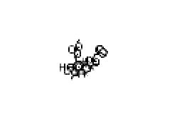 CCOC(=O)OCC1=C[C@H]2[C@H](OC(=O)CC34CC5CC(CC(C5)C3)C4)[C@@](C)(CC)C[C@@H](C)[C@]2(O)[C@@H]2C=C(C)C(=O)[C@@]2(O)C1